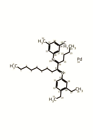 CCCCCCCCC(=N\c1ccc(CC)c(CC)c1)/C(CCCC)=N/c1cc(C)cc(C)c1.[Pd]